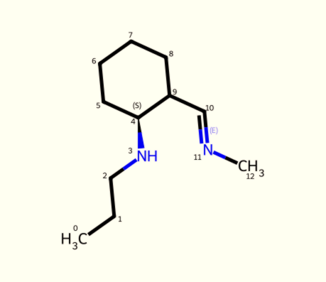 CCCN[C@H]1CCCCC1/C=N/C